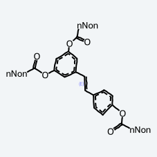 CCCCCCCCCC(=O)Oc1ccc(/C=C/c2cc(OC(=O)CCCCCCCCC)cc(OC(=O)CCCCCCCCC)c2)cc1